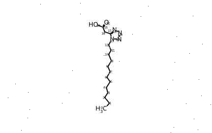 CCCCCCCCCCCCCn1nnnc1CC(=O)O